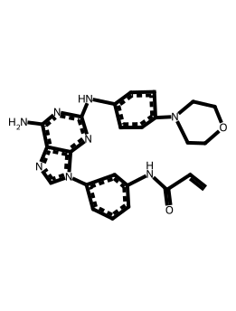 C=CC(=O)Nc1cccc(-n2cnc3c(N)nc(Nc4ccc(N5CCOCC5)cc4)nc32)c1